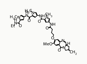 C=C1C[C@H]2C=Nc3cc(OCCCC(=O)Nc4cc(C(=O)Nc5cc(C(=O)Nc6cc(C(=O)NCC)n(C)c6)n(C)c5)n(C)c4)c(OC)cc3C(=O)N2C1